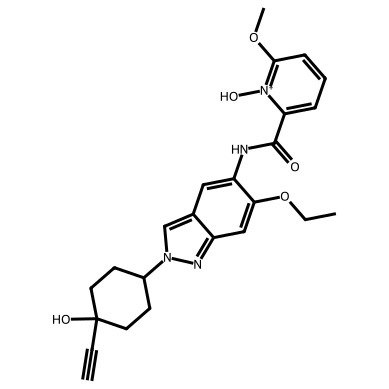 C#CC1(O)CCC(n2cc3cc(NC(=O)c4cccc(OC)[n+]4O)c(OCC)cc3n2)CC1